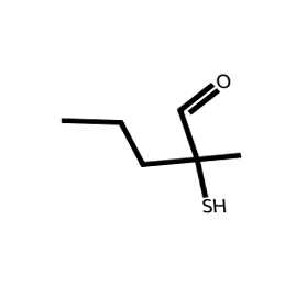 CCCC(C)(S)C=O